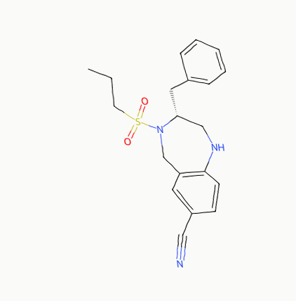 CCCS(=O)(=O)N1Cc2cc(C#N)ccc2NC[C@H]1Cc1ccccc1